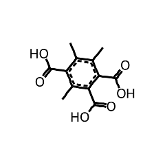 Cc1c(C)c(C(=O)O)c(C(=O)O)c(C)c1C(=O)O